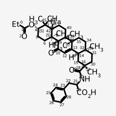 CCC(=O)O[C@H]1CC[C@]2(C)[C@H]3C(=O)C=C4[C@@H]5C[C@@](C)(C(=O)NC(Cc6ccccc6)C(=O)O)CC[C@]5(C)CC[C@@]4(C)[C@]3(C)CC[C@H]2C1(C)C